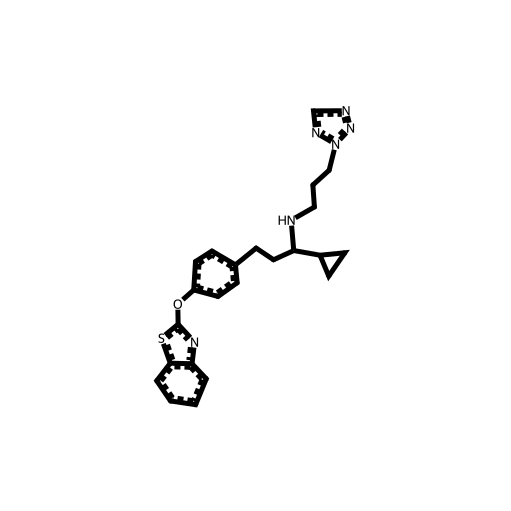 c1ccc2sc(Oc3ccc(CCC(NCCCn4ncnn4)C4CC4)cc3)nc2c1